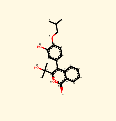 CC(C)COc1ccc(-c2c(C(C)(C)O)oc(=O)c3ccccc23)cc1O